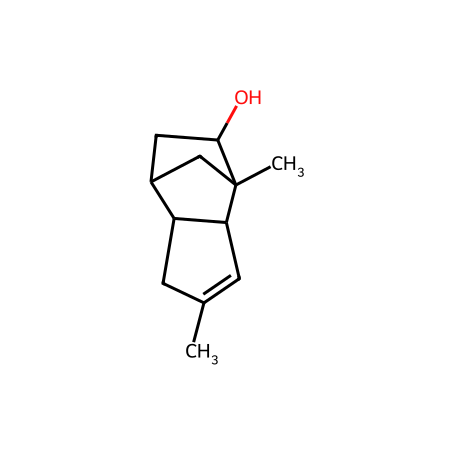 CC1=CC2C(C1)C1CC(O)C2(C)C1